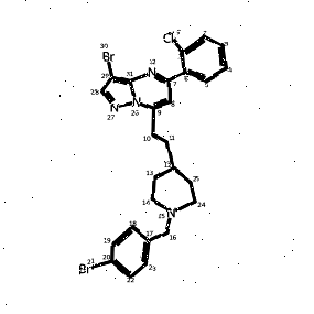 Clc1ccccc1-c1cc(CCC2CCN(Cc3ccc(Br)cc3)CC2)n2ncc(Br)c2n1